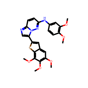 COc1ccc(Nc2ccc3ncc(-c4cc5cc(OC)c(OC)c(OC)c5s4)n3n2)cc1OC